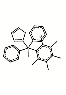 Cc1c(C)c(C)c(P(C)(C2=CC=CC2)(c2ccccc2)c2ccccc2)c(Br)c1C